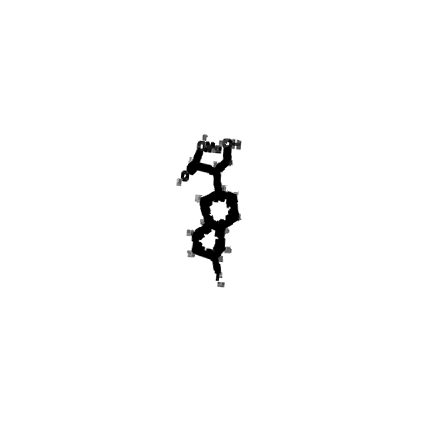 COC(=O)C(CO)c1ccc2cc(F)ccc2c1